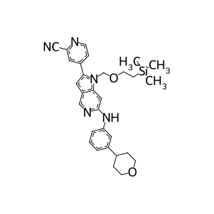 C[Si](C)(C)CCOCn1c(-c2ccnc(C#N)c2)cc2cnc(Nc3cccc(C4CCOCC4)c3)cc21